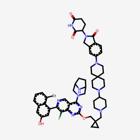 CCc1cccc2cc(O)cc(-c3ncc4c(N5CC6CCC(C5)N6)nc(OCC5(CN6CCC(N7CCC8(CCN(c9ccc%10c(c9)CN(C9CCC(=O)NC9=O)C%10=O)CC8)CC7)CC6)CC5)nc4c3F)c12